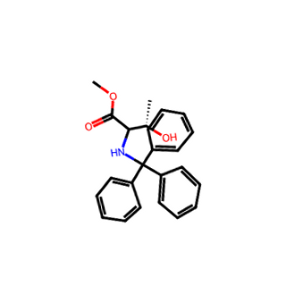 COC(=O)C(NC(c1ccccc1)(c1ccccc1)c1ccccc1)[C@H](C)O